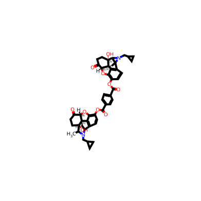 CC1N(CC2CC2)C2C[C@]34c5c2ccc(OC(=O)c2ccc(C(=O)Oc6ccc7c8c6O[C@H]6C(=O)CC[C@@]9(O)C%10N(CC%11CC%11)C7%10C[C@]869)cc2)c5O[C@H]3C(=O)CC[C@@]14O